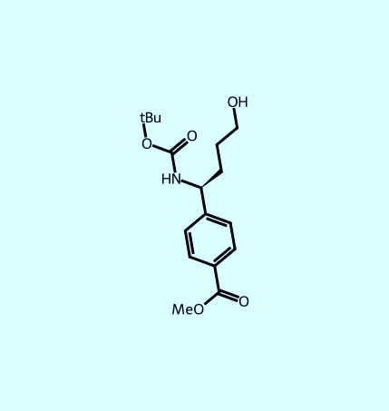 COC(=O)c1ccc([C@H](CCCO)NC(=O)OC(C)(C)C)cc1